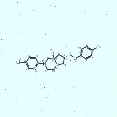 Fc1ccc(OC[C@H]2C[C@H]3CN(c4ccc(Cl)cn4)CCN3C2)cc1